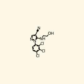 N#Cc1cnn(-c2ccc(Cl)c(Cl)c2Cl)c1NCCO